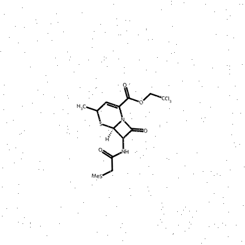 CSCC(=O)NC1C(=O)N2C(C(=O)OCC(Cl)(Cl)Cl)=CC(C)S[C@H]12